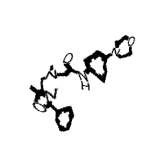 Cc1oc(-c2ccccc2)nc1CN(C)CC(=O)Nc1ccc(N2CCOCC2)cc1